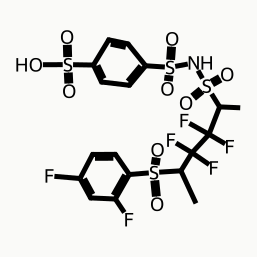 CC(C(F)(F)C(F)(F)C(C)S(=O)(=O)c1ccc(F)cc1F)S(=O)(=O)NS(=O)(=O)c1ccc(S(=O)(=O)O)cc1